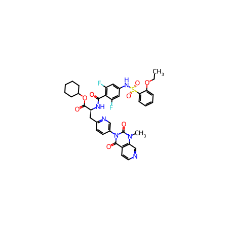 CCOc1ccccc1S(=O)(=O)Nc1cc(F)c(C(=O)N[C@@H](Cc2ccc(-n3c(=O)c4ccncc4n(C)c3=O)cn2)C(=O)OC2CCCCC2)c(F)c1